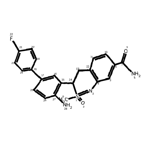 CS1(=O)=Nc2cc(C(N)=O)ccc2CC1c1cc(-c2ccc(F)cc2)ccc1N